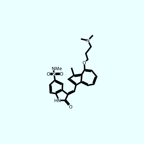 CNS(=O)(=O)c1ccc2c(c1)/C(=C\c1cc(C)c3c(OCCCN(C)C)ccccc1-3)C(=O)N2